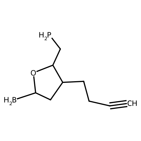 BC1CC(CCC#C)C(CP)O1